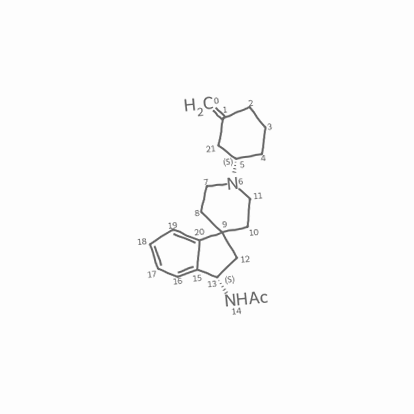 C=C1CCC[C@H](N2CCC3(CC2)C[C@H](NC(C)=O)c2ccccc23)C1